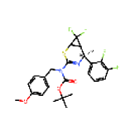 COc1ccc(CN(C(=O)OC(C)(C)C)C2=N[C@](C)(c3cccc(F)c3F)C3C(S2)C3(F)F)cc1